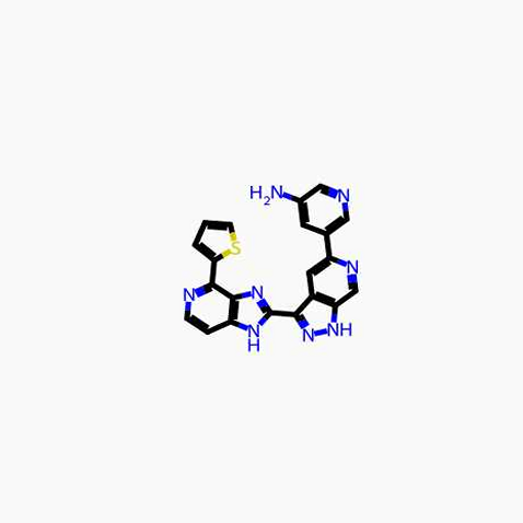 Nc1cncc(-c2cc3c(-c4nc5c(-c6cccs6)nccc5[nH]4)n[nH]c3cn2)c1